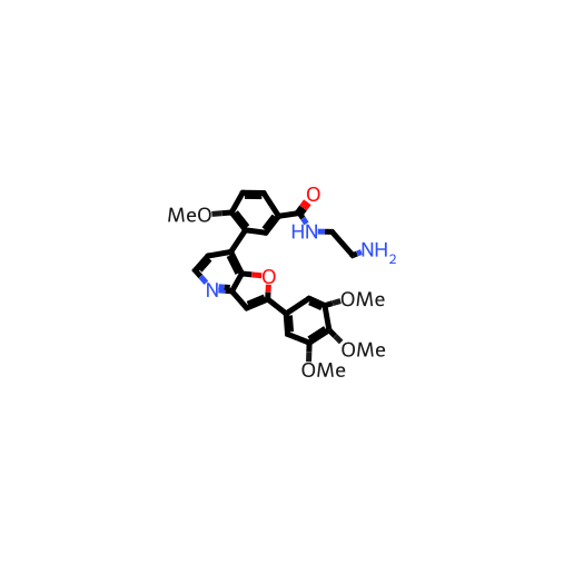 COc1ccc(C(=O)NCCN)cc1-c1ccnc2cc(-c3cc(OC)c(OC)c(OC)c3)oc12